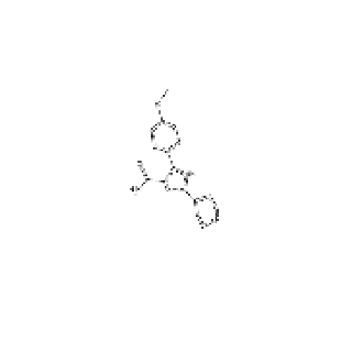 COc1ccc(-c2[nH]c(-c3ccncc3)cc2C(N)=O)cc1